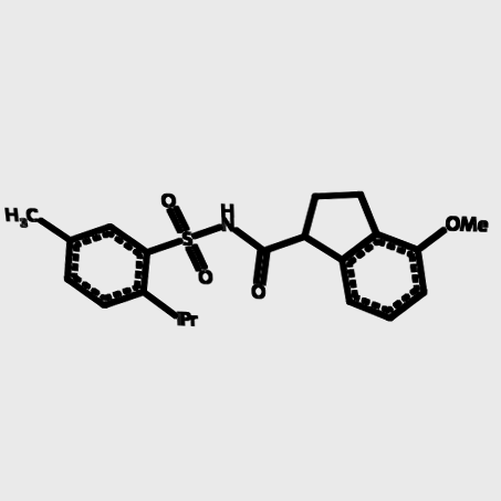 COc1cccc2c1CCC2C(=O)NS(=O)(=O)c1cc(C)ccc1C(C)C